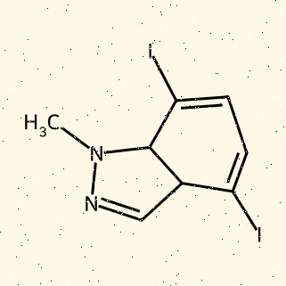 CN1N=CC2C(I)=CC=C(I)C21